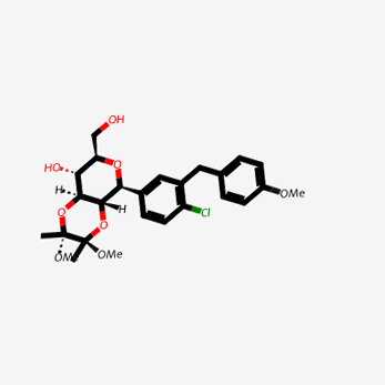 COc1ccc(Cc2cc([C@@H]3O[C@H](CO)[C@@H](O)[C@@H]4O[C@@](C)(OC)[C@](C)(OC)O[C@H]43)ccc2Cl)cc1